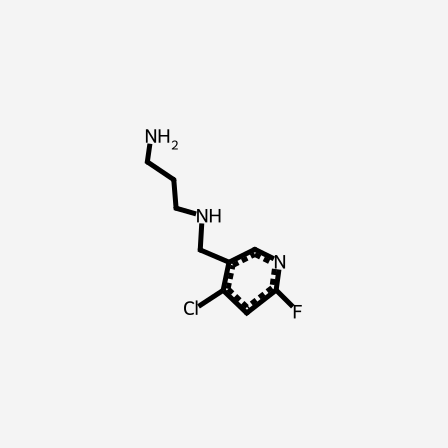 NCCCNCc1cnc(F)cc1Cl